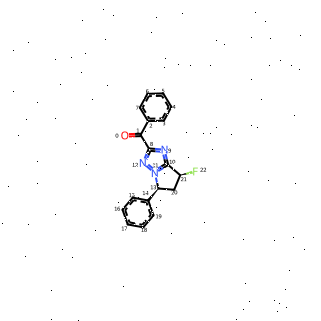 O=C(c1ccccc1)c1nc2n(n1)[C@H](c1ccccc1)C[C@@H]2F